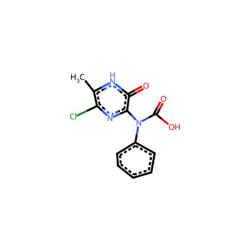 Cc1[nH]c(=O)c(N(C(=O)O)c2ccccc2)nc1Cl